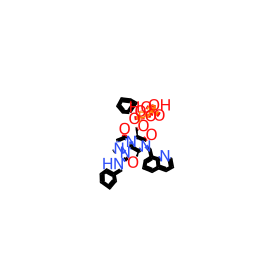 C[C@H]1C2N(C(=O)CN(C)N2C(=O)NCc2ccccc2)[C@@H](COP(=O)(Oc2ccccc2)OP(=O)(O)O)C(=O)N1Cc1cccc2cccnc12